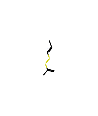 C=C(C)SS/C=C/C